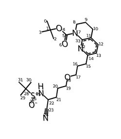 CC(C)(C)OC(=O)N1CCCc2ccc(CCCOCCCC(C#N)N[S@+]([O-])C(C)(C)C)nc21